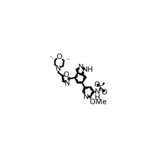 COc1ncc(-c2cc(-c3ncc(CN4C[C@@H](C)O[C@@H](C)C4)o3)c3cn[nH]c3c2)cc1NS(C)(=O)=O